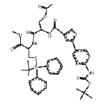 COC(=O)C(CO[Si](c1ccccc1)(c1ccccc1)C(C)(C)C)NC(=O)C(COC(C)=O)NC(=O)c1csc(-c2cnc(NC(=O)OC(C)(C)C)nc2)n1